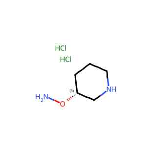 Cl.Cl.NO[C@@H]1CCCNC1